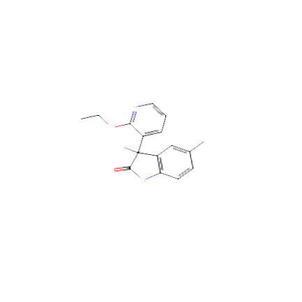 CCOc1ncccc1C1(O)C(=O)Nc2ccc(C)cc21